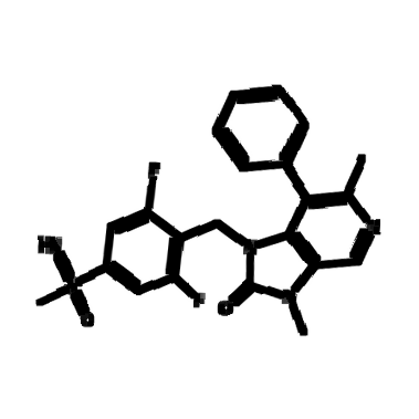 Cc1ncc2c(c1-c1ccccc1)n(Cc1c(F)cc(S(C)(=N)=O)cc1F)c(=O)n2C